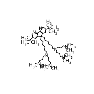 CN(C)CCCN(CCCCCCC1(CCCCCCN(CCCN(C)C)CCCN(C)C)c2cc(C(C)(C)C)cnc2-c2ncc(C(C)(C)C)cc21)CCCN(C)C